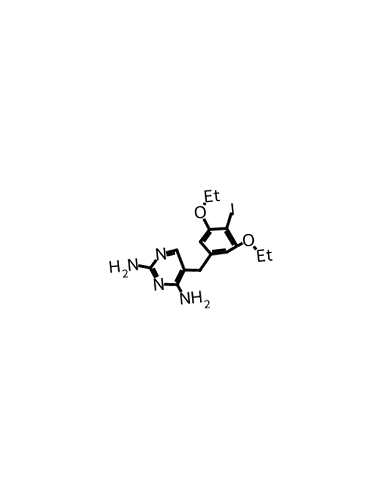 CCOc1cc(Cc2cnc(N)nc2N)cc(OCC)c1I